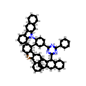 c1ccc(-c2nc(-c3ccc(-n4c5ccccc5c5cc6ccccc6cc54)c(-c4cccc5sc6c7ccccc7ccc6c45)c3)nc(-c3c4ccccc4cc4ccccc34)n2)cc1